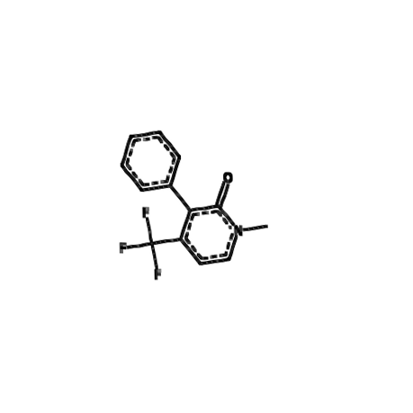 Cn1ccc(C(F)(F)F)c(-c2ccccc2)c1=O